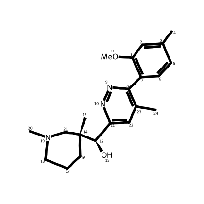 COc1cc(C)ccc1-c1nnc([C@@H](O)[C@]2(C)CCCN(C)C2)cc1C